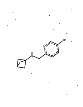 Brc1ccc(CNC23CC(C2)C3)nc1